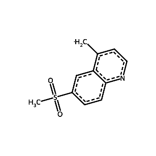 [CH2]c1ccnc2ccc(S(C)(=O)=O)cc12